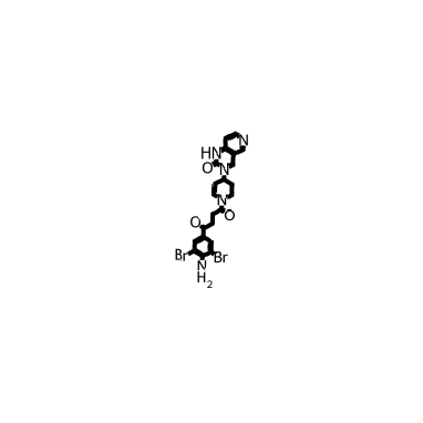 Nc1c(Br)cc(C(=O)CCC(=O)N2CCC(N3Cc4cnccc4NC3=O)CC2)cc1Br